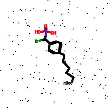 CCCCCCCCCCCCCCCc1ccc(C(Br)P(=O)(O)O)cc1